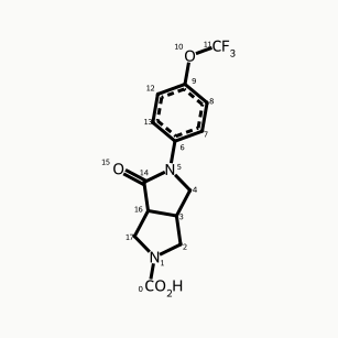 O=C(O)N1CC2CN(c3ccc(OC(F)(F)F)cc3)C(=O)C2C1